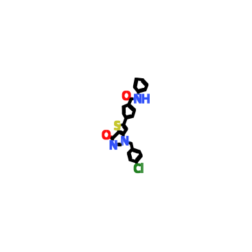 O=C(Nc1ccccc1)c1ccc(-c2cc3c(s2)c(=O)ncn3Cc2ccc(Cl)cc2)cc1